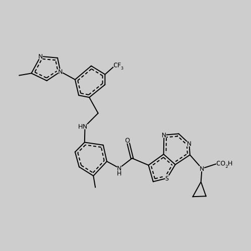 Cc1cn(-c2cc(CNc3ccc(C)c(NC(=O)c4csc5c(N(C(=O)O)C6CC6)ncnc45)c3)cc(C(F)(F)F)c2)cn1